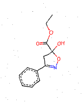 CCOC(=O)C1(O)CC(c2ccccc2)=NO1